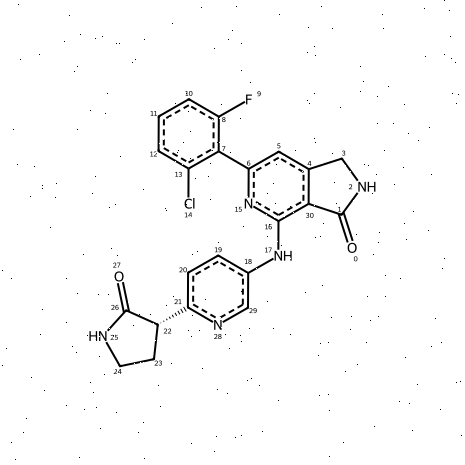 O=C1NCc2cc(-c3c(F)cccc3Cl)nc(Nc3ccc([C@@H]4CCNC4=O)nc3)c21